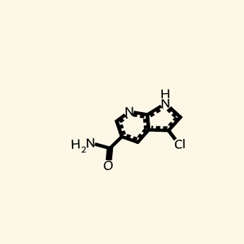 NC(=O)c1cnc2[nH]cc(Cl)c2c1